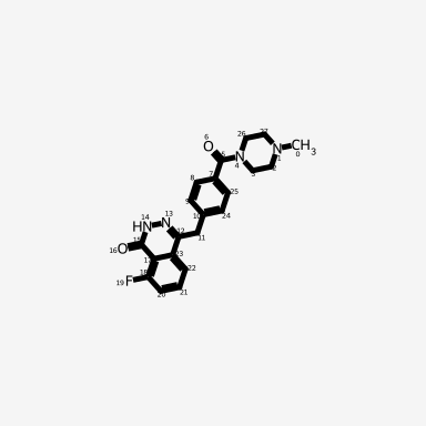 CN1CCN(C(=O)c2ccc(Cc3n[nH]c(=O)c4c(F)cccc34)cc2)CC1